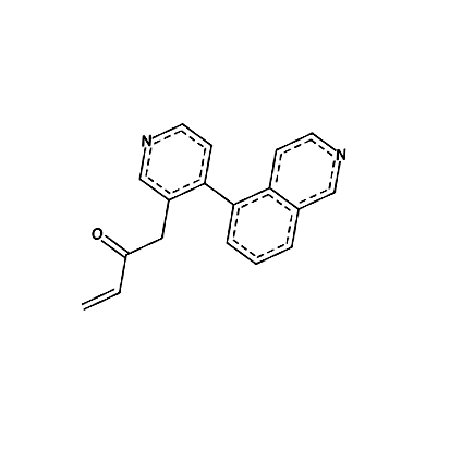 C=CC(=O)Cc1cnccc1-c1cccc2cnccc12